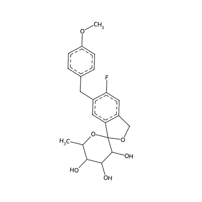 COc1ccc(Cc2cc3c(cc2F)COC32OC(C)C(O)C(O)C2O)cc1